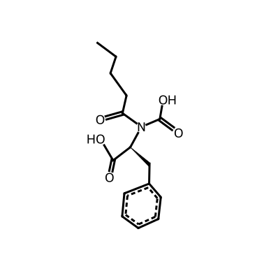 CCCCC(=O)N(C(=O)O)[C@@H](Cc1ccccc1)C(=O)O